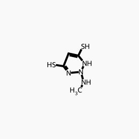 CNN1N=C(S)C=C(S)N1